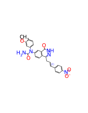 COc1cccc(N(C(N)=O)c2ccc3c(C/C=C/c4ccc([N+](=O)[O-])cc4)n[nH]c(=O)c3c2)c1